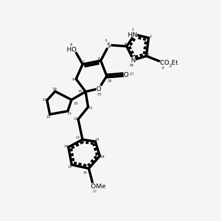 CCOC(=O)c1c[nH]c(SC2=C(O)CC(CCc3ccc(OC)cc3)(C3CCCC3)OC2=O)n1